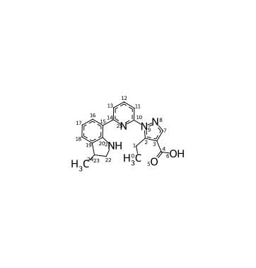 CCc1c(C(=O)O)cnn1-c1cccc(-c2cccc3c2NCC3C)n1